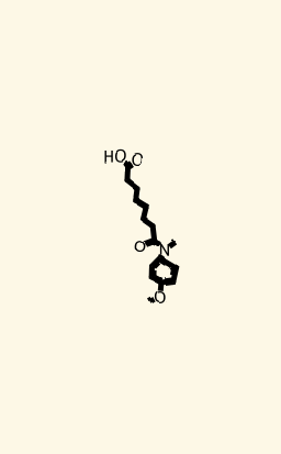 COc1ccc(N(C)C(=O)CCCCCCC(=O)O)cc1